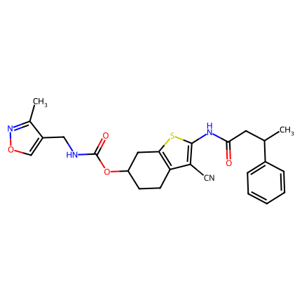 Cc1nocc1CNC(=O)OC1CCc2c(sc(NC(=O)CC(C)c3ccccc3)c2C#N)C1